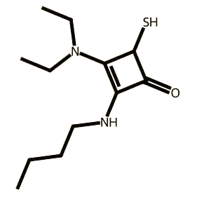 CCCCNC1=C(N(CC)CC)C(S)C1=O